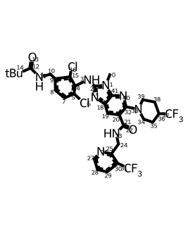 Cn1c(Nc2c(Cl)ccc(CNC(=O)C(C)(C)C)c2Cl)nc2cc(C(=O)NCc3ncccc3C(F)(F)F)c(N3CCC(C(F)(F)F)CC3)nc21